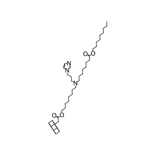 CCCCCCCCCOC(=O)CCCCCCCN(CCCCCCCCOC(=O)CC12C3C4C5C3C1C5C42)CCCn1ccnc1